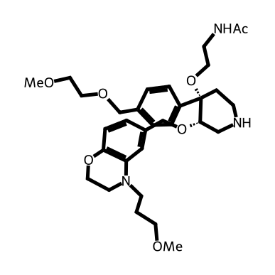 COCCCN1CCOc2ccc(CO[C@H]3CNCC[C@]3(OCCNC(C)=O)c3ccc(COCCOC)cc3)cc21